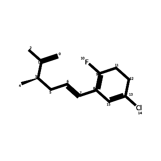 C=C(C)[C@H](C)C/C=C/C1=C(F)CCC(Cl)=C1